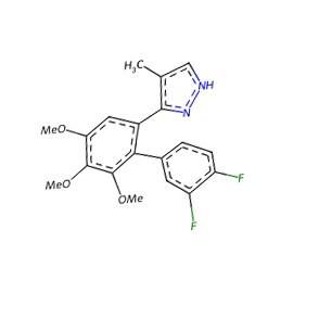 COc1cc(-c2n[nH]cc2C)c(-c2ccc(F)c(F)c2)c(OC)c1OC